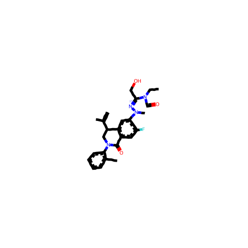 C=C(C)C1CN(c2ccccc2C)C(=O)c2cc(F)c(N(C)/N=C(/CO)N(C=O)CC)cc21